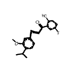 COc1cc(/C=C/C(=O)c2cc(F)ccc2O)ccc1C(C)C